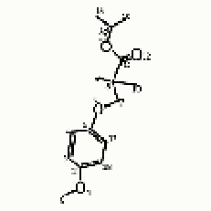 COc1ccc(OCC(C)(C)C(=O)OC(C)C)cc1